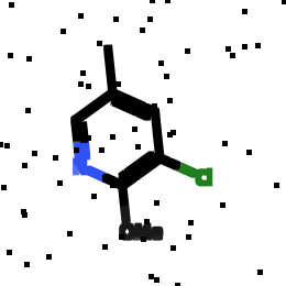 COc1ncc(C)cc1Cl